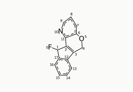 FC1C2=C(COc3cccnc32)c2ccccc21